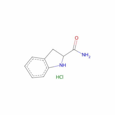 Cl.NC(=O)C1Cc2ccccc2N1